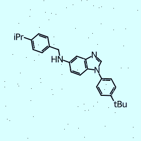 CC(C)c1ccc(CNc2ccc3c(c2)ncn3-c2ccc(C(C)(C)C)cc2)cc1